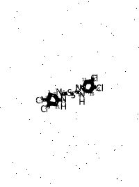 Clc1cc2nc(SSc3nc4cc(Cl)c(Cl)cc4[nH]3)[nH]c2cc1Cl